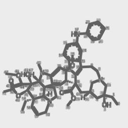 CC[C@]1(O)C[C@H]2CN(CCC3=C(Bc4ccc(Nc5ccccc5)cc43)[C@@](C(=O)OC)(C3C=C4C(=CC3OC)N(C)[C@H]3[C@@](O)(C(=O)OC)[C@H](OC(C)=O)[C@]5(CC)C=CCN6CC[C@]43[C@@H]65)C2)C1